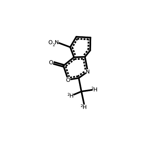 [2H]C([2H])([2H])c1nc2cccc([N+](=O)[O-])c2c(=O)o1